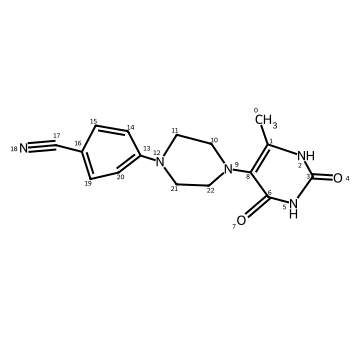 Cc1[nH]c(=O)[nH]c(=O)c1N1CCN(c2ccc(C#N)cc2)CC1